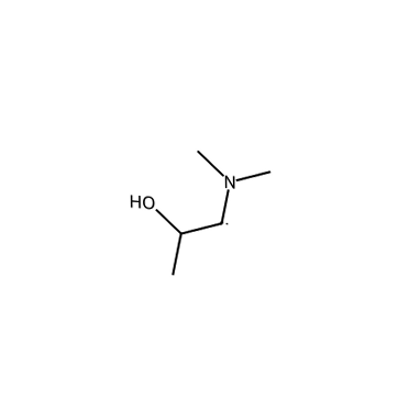 CC(O)[CH]N(C)C